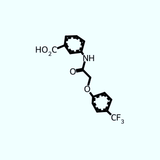 O=C(COc1ccc(C(F)(F)F)cc1)Nc1cccc(C(=O)O)c1